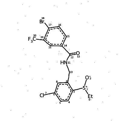 CC[S+]([O-])c1ccc(Cl)cc1CNC(=O)c1ccc(Br)c(C(F)(F)F)c1